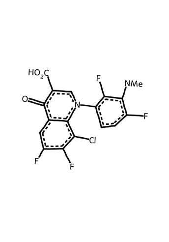 CNc1c(F)ccc(-n2cc(C(=O)O)c(=O)c3cc(F)c(F)c(Cl)c32)c1F